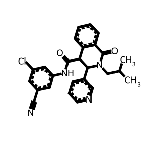 CC(C)CN1C(=O)c2ccccc2C(C(=O)Nc2cc(Cl)cc(C#N)c2)C1c1cccnc1